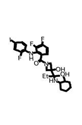 CCC(C)(NC1CCCCC1O)C1(O)CN(C(=O)c2ccc(F)c(F)c2Nc2ccc(I)cc2F)C1